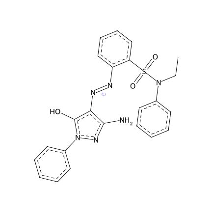 CCN(c1ccccc1)S(=O)(=O)c1ccccc1/N=N/c1c(N)nn(-c2ccccc2)c1O